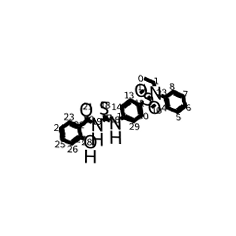 CCN(c1ccccc1)S(=O)(=O)c1ccc(NC(=S)NC(=O)c2ccccc2O)cc1